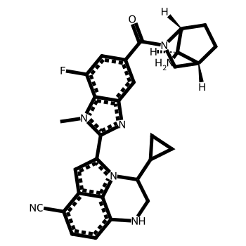 Cn1c(-c2cc3c(C#N)ccc4c3n2C(C2CC2)CN4)nc2cc(C(=O)N3C[C@H]4CC[C@@H]3[C@@H]4N)cc(F)c21